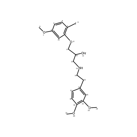 COc1ccc(I)c(OCC(O)CNCCc2ccc(OC)c(OC)c2)c1